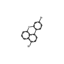 Brc1ccc2c(c1)Oc1cccc3c(Br)ccc-2c13